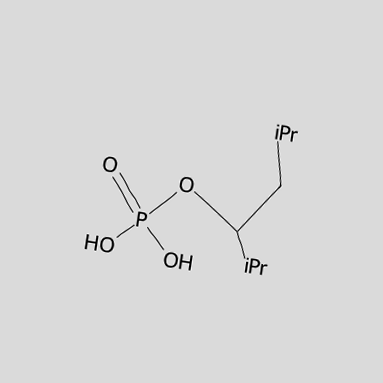 CC(C)CC(OP(=O)(O)O)C(C)C